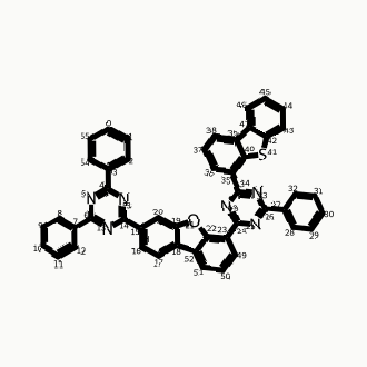 c1ccc(-c2nc(-c3ccccc3)nc(-c3ccc4c(c3)oc3c(-c5nc(-c6ccccc6)nc(-c6cccc7c6sc6ccccc67)n5)cccc34)n2)cc1